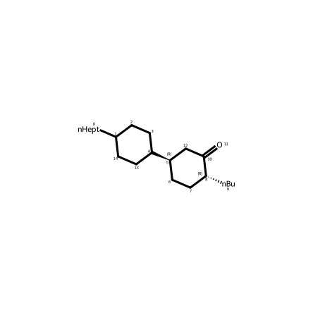 CCCCCCCC1CCC([C@@H]2CC[C@@H](CCCC)C(=O)C2)CC1